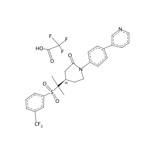 CC(C)([C@@H]1CCN(c2ccc(-c3cccnc3)cc2)C(=O)C1)S(=O)(=O)c1cccc(C(F)(F)F)c1.O=C(O)C(F)(F)F